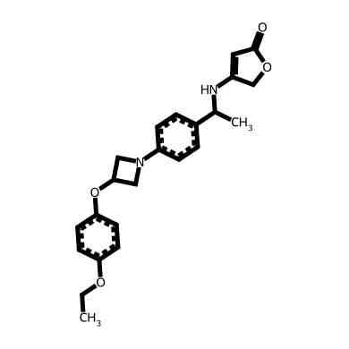 CCOc1ccc(OC2CN(c3ccc(C(C)NC4=CC(=O)OC4)cc3)C2)cc1